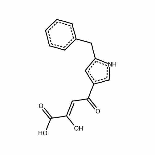 O=C(O)/C(O)=C/C(=O)c1c[nH]c(Cc2ccccc2)c1